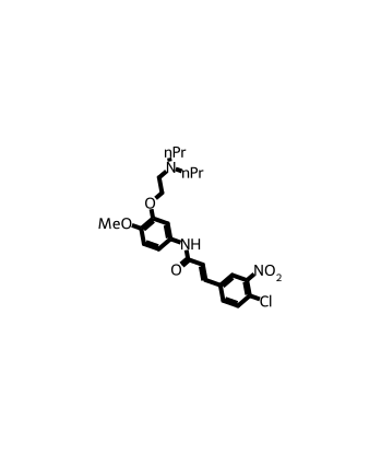 CCCN(CCC)CCOc1cc(NC(=O)C=Cc2ccc(Cl)c([N+](=O)[O-])c2)ccc1OC